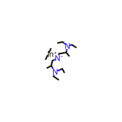 CCN(CC)C(C)C[N-]CC(C)N(CC)CC.[CH3][In+][CH3]